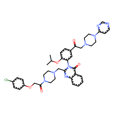 CC(C)Oc1ccc(C(=O)CN2CCN(c3ccncn3)CC2)cc1-n1c(CN2CCN(C(=O)COc3ccc(Cl)cc3)CC2)nc2ccccc2c1=O